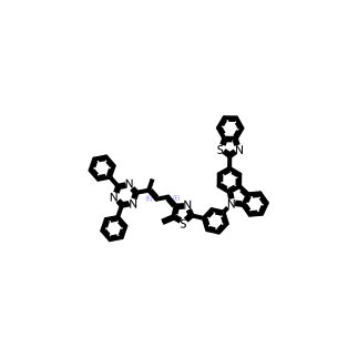 C=c1sc(-c2cccc(-n3c4ccccc4c4cc(-c5nc6ccccc6s5)ccc43)c2)n/c1=C/C=C(\C)c1nc(-c2ccccc2)nc(-c2ccccc2)n1